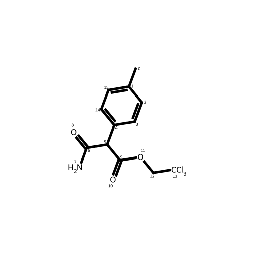 Cc1ccc(C(C(N)=O)C(=O)OCC(Cl)(Cl)Cl)cc1